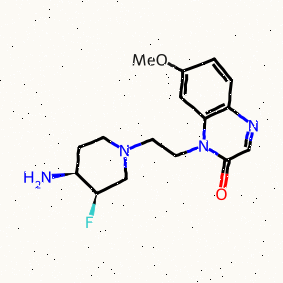 COc1ccc2ncc(=O)n(CCN3CC[C@H](N)[C@H](F)C3)c2c1